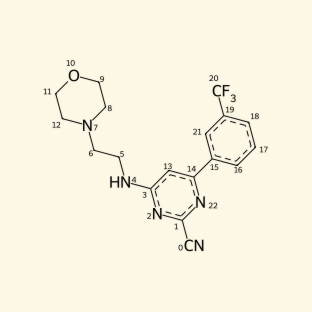 N#Cc1nc(NCCN2CCOCC2)cc(-c2cccc(C(F)(F)F)c2)n1